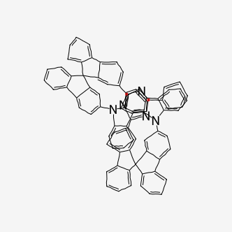 c1ccc(-c2nc(-c3ccc4c(c3)C3(c5ccccc5-4)c4ccccc4-c4ccc(-n5c6ccccc6c6ccccc65)cc43)nc(-c3ccc4c(c3)C3(c5ccccc5-4)c4ccccc4-c4ccc(-n5c6ccccc6c6ccccc65)cc43)n2)cc1